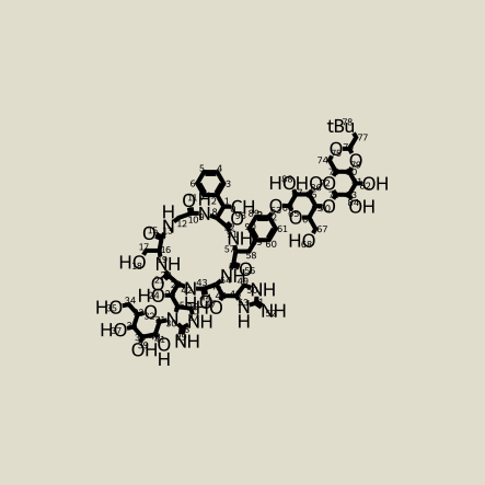 CC(c1ccccc1)C1NC(=O)CNC(=O)C(CO)NC(=O)C(C(O)C2CNC(=N)N2C2OC(CO)C(O)C(O)C2O)NC(=O)C(C(O)C2CNC(=N)N2)NC(=O)C(Cc2ccc(OC3OC(CO)C(OC4OC5COC(CC(C)(C)C)OC5C(O)C4O)C(O)C3O)cc2)NC1=O